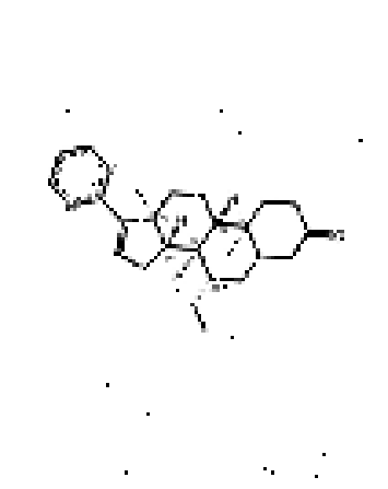 CC[C@H]1CC2CC(=O)CC[C@]2(C)[C@H]2CC[C@]3(C)C(c4ncccn4)=CC[C@H]3[C@H]12